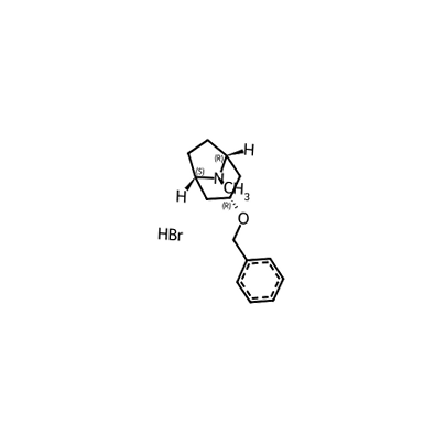 Br.CN1[C@@H]2CC[C@H]1C[C@@H](OCc1ccccc1)C2